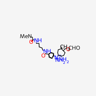 CNCC(=O)NCCCCCNC(=O)c1ccc(N(N)/C2=C(\N)CCC(COC=O)C(C)CC2)cc1